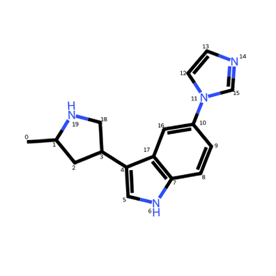 CC1CC(c2c[nH]c3ccc(-n4ccnc4)cc23)CN1